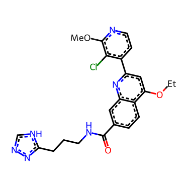 CCOc1cc(-c2ccnc(OC)c2Cl)nc2cc(C(=O)NCCCc3nnc[nH]3)ccc12